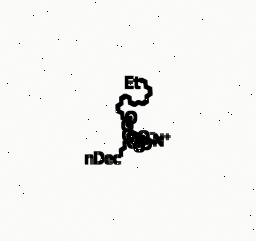 CC/C=C\C/C=C\C/C=C\C/C=C\C/C=C\C/C=C\CCC(=O)OC[C@H](COP(=O)([O-])OCC[N+](C)(C)C)OC(=O)CCCCCCCCCCCCCC